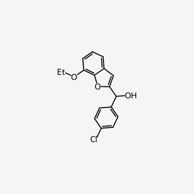 CCOc1cccc2cc(C(O)c3ccc(Cl)cc3)oc12